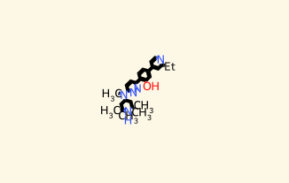 CCc1cc(-c2ccc(-c3ccc(N(C)C4CC(C)(C)NC(C)(C)C4)nn3)c(O)c2)ccn1